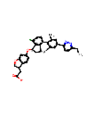 CCc1ccc(-c2cc(C)c(-c3ccc(F)c4c3CC[C@H]4Oc3ccc4c(c3)OCC4CC(=O)O)c(C)c2)nn1